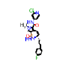 Cn1cc2c(c1C(=O)Nc1ccnc(Cl)c1)C=C[C@H](CCCc1ccc(F)cc1)NS2(=N)=O